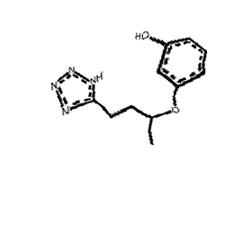 CC(CCc1nnn[nH]1)Oc1cccc(O)c1